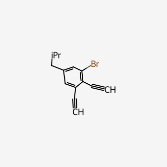 C#Cc1cc(CC(C)C)cc(Br)c1C#C